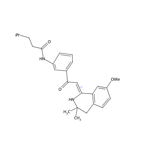 COc1ccc2c(c1)/C(=C/C(=O)c1cccc(NC(=O)CCC(C)C)c1)NC(C)(C)C2